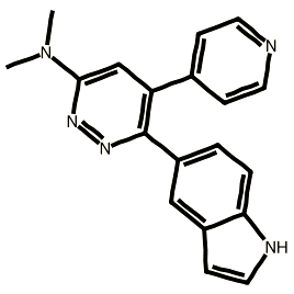 CN(C)c1cc(-c2ccncc2)c(-c2ccc3[nH]ccc3c2)nn1